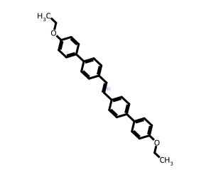 CCOc1ccc(-c2ccc(/C=C/c3ccc(-c4ccc(OCC)cc4)cc3)cc2)cc1